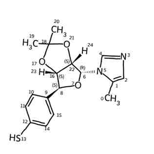 Cc1cncn1[C@@H]1O[C@@H](c2ccc(S)cc2)[C@@H]2OC(C)(C)O[C@@H]21